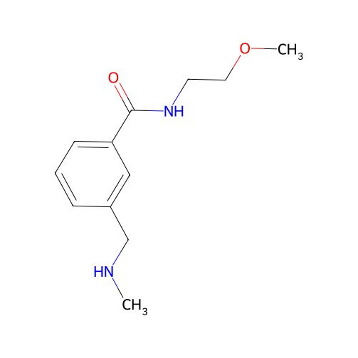 CNCc1cccc(C(=O)NCCOC)c1